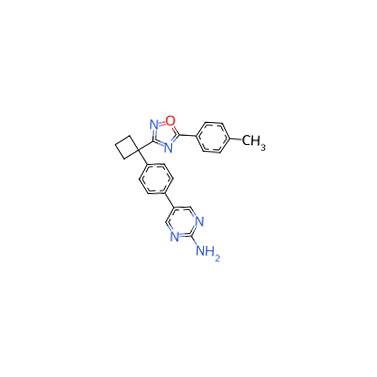 Cc1ccc(-c2nc(C3(c4ccc(-c5cnc(N)nc5)cc4)CCC3)no2)cc1